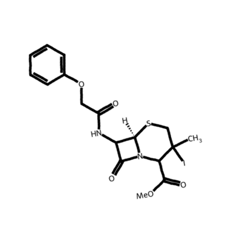 COC(=O)C1N2C(=O)C(NC(=O)COc3ccccc3)[C@H]2SCC1(C)I